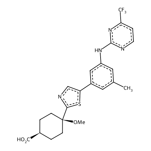 CO[C@]1(c2ncc(-c3cc(C)cc(Nc4nccc(C(F)(F)F)n4)c3)s2)CC[C@H](C(=O)O)CC1